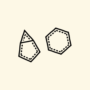 c1cc2cc-2c1.c1ccccc1